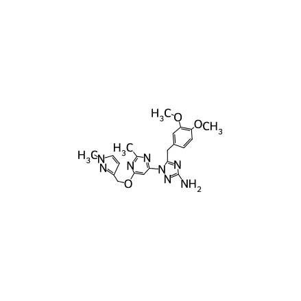 COc1ccc(Cc2nc(N)nn2-c2cc(OCc3ccn(C)n3)nc(C)n2)cc1OC